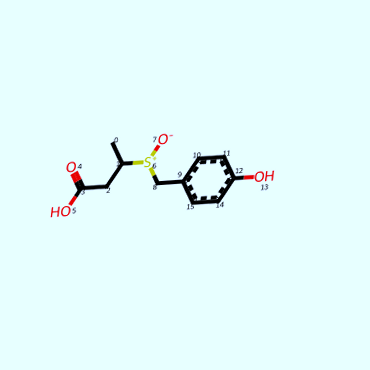 CC(CC(=O)O)[S+]([O-])Cc1ccc(O)cc1